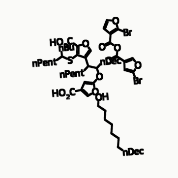 CCCCCCCCCCC(Oc1cc(C(=O)O)co1)C(CCCCC)c1coc(C(=O)O)c1SC(CCCC)CCCCC.CCCCCCCCCCCCCCCCCO.O=C(OC(=O)c1ccoc1Br)c1coc(Br)c1